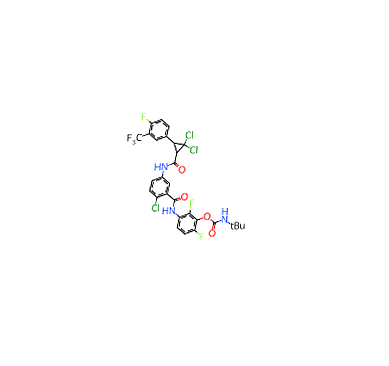 CC(C)(C)NC(=O)Oc1c(F)ccc(NC(=O)c2cc(NC(=O)C3C(c4ccc(F)c(C(F)(F)F)c4)C3(Cl)Cl)ccc2Cl)c1F